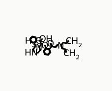 C=CCN(C=CC(=O)c1ccccc1OC(C(C)O)N1CCNCC1c1ccccc1)CC=C